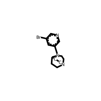 Brc1cncc(N2CCN3CCC2CC3)c1